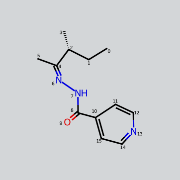 CC[C@@H](C)C(C)=NNC(=O)c1ccncc1